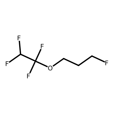 FCCCOC(F)(F)C(F)F